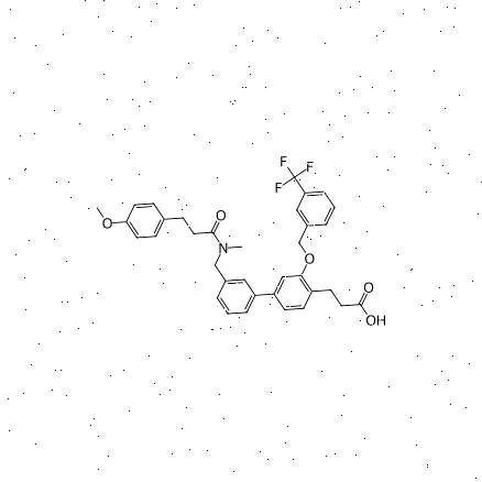 COc1ccc(CCC(=O)N(C)Cc2cccc(-c3ccc(CCC(=O)O)c(OCc4cccc(C(F)(F)F)c4)c3)c2)cc1